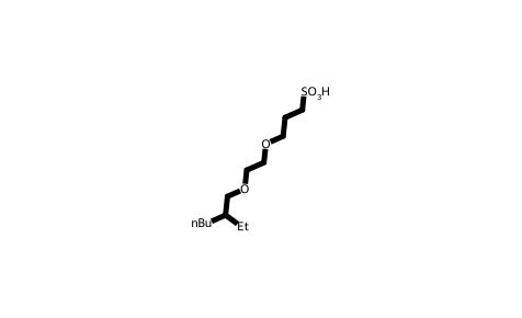 CCCCC(CC)COCCOCCCS(=O)(=O)O